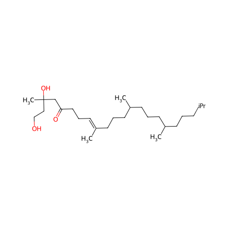 CC(=CCCC(=O)CC(C)(O)CCO)CCCC(C)CCCC(C)CCCC(C)C